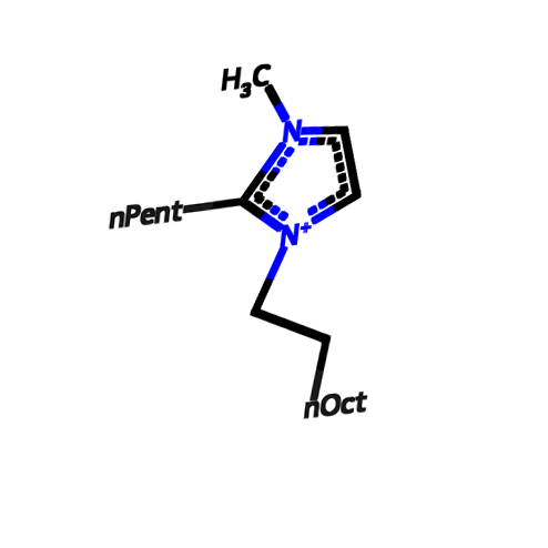 CCCCCCCCCC[n+]1ccn(C)c1CCCCC